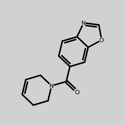 O=C(c1ccc2ncoc2c1)N1CC=CCC1